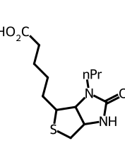 CCCN1C(=O)NC2CSC(CCCCC(=O)O)C21